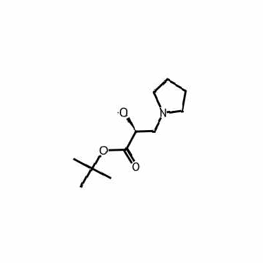 CC(C)(C)OC(=O)[C@@H]([O])CN1CCCC1